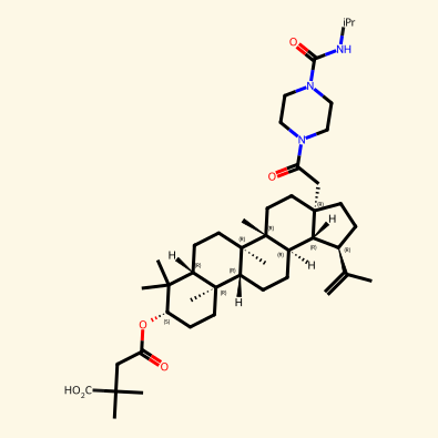 C=C(C)[C@@H]1CC[C@]2(CC(=O)N3CCN(C(=O)NC(C)C)CC3)CC[C@]3(C)[C@H](CC[C@@H]4[C@@]5(C)CC[C@H](OC(=O)CC(C)(C)C(=O)O)C(C)(C)[C@@H]5CC[C@]43C)[C@@H]12